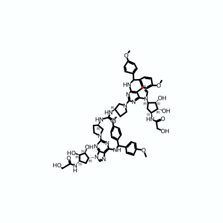 COc1ccc(C(Nc2nc(N3CC[C@@H](NC(=O)N[C@@H]4CCN(c5nc(NC(c6ccc(OC)cc6)c6ccc(OC)cc6)c6ncn([C@@H]7C[C@H](NC(=O)CO)[C@@H](O)[C@H]7O)c6n5)C4)C3)nc3c2ncn3[C@@H]2C[C@H](NC(=O)CO)[C@@H](O)[C@H]2O)c2ccc(OC)cc2)cc1